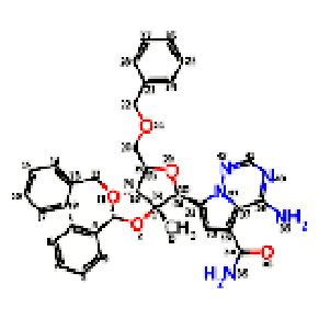 C[C@@]1(OCc2ccccc2)[C@H](OCc2ccccc2)[C@@H](COCc2ccccc2)O[C@H]1c1cc(C(N)=O)c2c(N)ncnn12